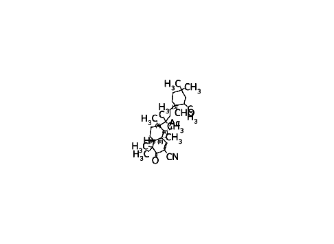 CC(=O)C[C@@H]1[C@@]2(C)C=C(C#N)C(=O)C(C)(C)[C@@H]2CC[C@@]1(C)C(C)(C)CC[C@@]1(C=O)CCC(C)(C)CC1C